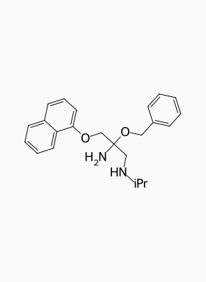 CC(C)NCC(N)(COc1cccc2ccccc12)OCc1ccccc1